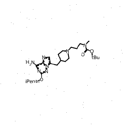 CCC[C@H](C)Oc1nc(N)c2ncc(CC3CCN(CCCN(C)C(=O)OC(C)(C)C)CC3)n2n1